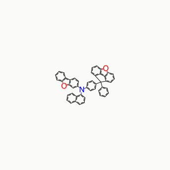 c1ccc(C2(c3ccc(N(c4ccc5c(c4)oc4ccccc45)c4cccc5ccccc45)cc3)c3cccc4oc5cccc2c5c34)cc1